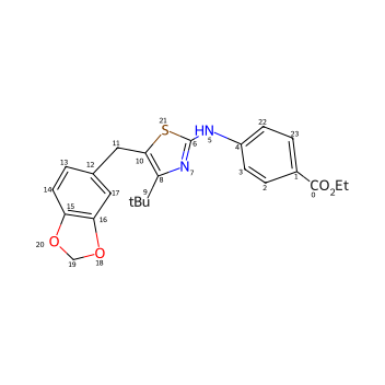 CCOC(=O)c1ccc(Nc2nc(C(C)(C)C)c(Cc3ccc4c(c3)OCO4)s2)cc1